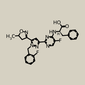 CC1CC(c2cc(-c3ncc(F)c(N[C@H](Cc4ccccc4)C(=O)O)n3)nn2Cc2ccccc2F)=NO1